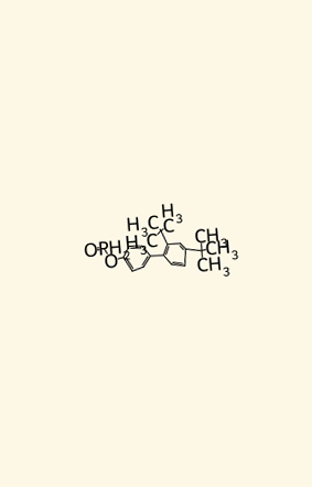 CC(C)(C)c1ccc(-c2ccc(O[PH2]=O)cc2)c(C(C)(C)C)c1